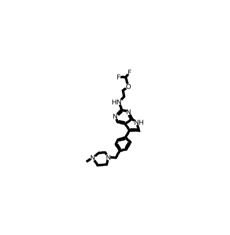 CN1CCN(Cc2ccc(-c3c[nH]c4nc(NCCOC(F)F)ncc34)cc2)CC1